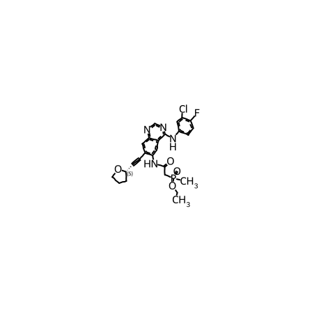 CCOP(C)(=O)CC(=O)Nc1cc2c(Nc3ccc(F)c(Cl)c3)ncnc2cc1C#C[C@@H]1CCCO1